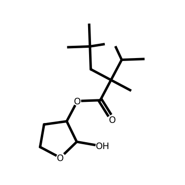 CC(C)C(C)(CC(C)(C)C)C(=O)OC1CCOC1O